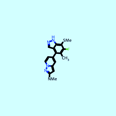 CNc1cc2cc(-c3c(C)c(F)c(SC)c4[nH]ncc34)ccn2n1